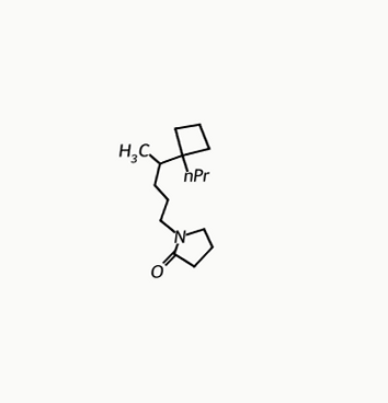 CCCC1(C(C)CCCN2CCCC2=O)CCC1